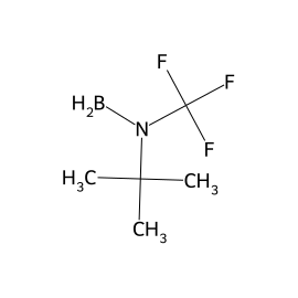 BN(C(C)(C)C)C(F)(F)F